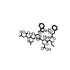 CC[C@H](C)[C@H](NC(=O)[C@@H](N)Cc1ccccc1)C(=O)N[C@@H](CCC(=O)O)C(=O)N[C@@H](Cc1c[nH]c2ccccc12)C(=O)N[C@@H](CC(C)C)C(=O)N[C@@H](CC(C)C)C(=O)O